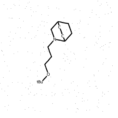 CC(C)(C)OCCCN1CC2CCC1CC2